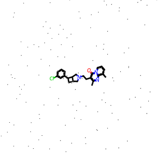 Cc1nc2c(C)cccn2c(=O)c1CCN1CC2CC(c3cccc(Cl)c3)C2C1